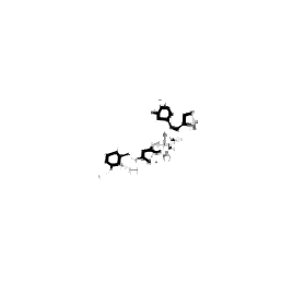 COc1cccc(CNc2cnc(S(=O)(=O)Nc3nc(-c4ccc(F)c(Cl)c4)c(-c4cc[nH]n4)s3)c(C)c2)c1O